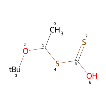 CC(OC(C)(C)C)SC(O)=S